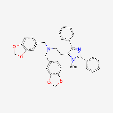 CCCCn1c(-c2ccccc2)nc(-c2ccccc2)c1CCN(Cc1ccc2c(c1)OCO2)Cc1ccc2c(c1)OCO2